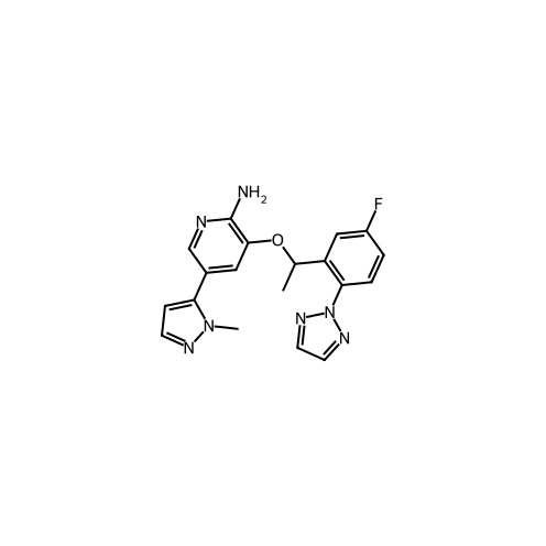 CC(Oc1cc(-c2ccnn2C)cnc1N)c1cc(F)ccc1-n1nccn1